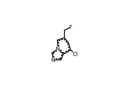 FCc1cc(Cl)c2cncn2c1